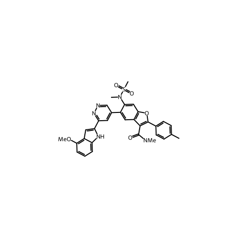 CNC(=O)c1c(-c2ccc(C)cc2)oc2cc(N(C)S(C)(=O)=O)c(-c3cnnc(-c4cc5c(OC)cccc5[nH]4)c3)cc12